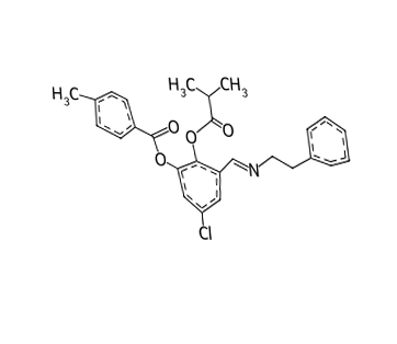 Cc1ccc(C(=O)Oc2cc(Cl)cc(C=NCCc3ccccc3)c2OC(=O)C(C)C)cc1